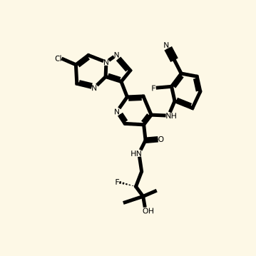 CC(C)(O)[C@H](F)CNC(=O)c1cnc(-c2cnn3cc(Cl)cnc23)cc1Nc1cccc(C#N)c1F